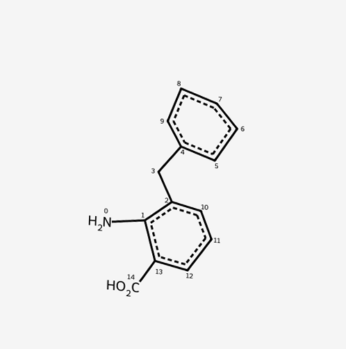 Nc1c(Cc2ccccc2)cccc1C(=O)O